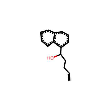 C=CCCC(O)c1cccc2ccccc12